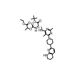 CCOC(=O)C(C)OC(=O)N[C@@H](CNc1nc(C)nc(N2CCC(c3ccc4c(n3)NCCC4)CC2)c1C)C(=O)OC(C)(C)C